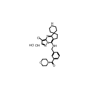 Cl.Cl.O=C(c1cccc(CNc2c3c(nc4c(Cl)cnn24)C2(CCNCC2)CC3)c1)N1CCOCC1